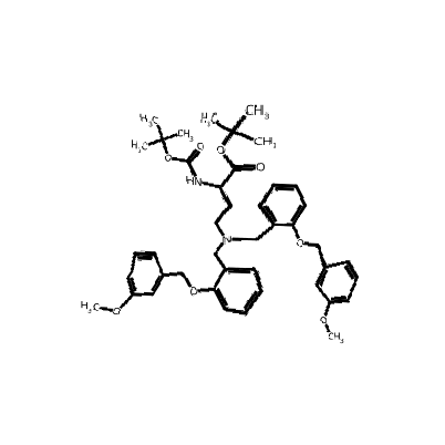 COc1cccc(COc2ccccc2CN(CCC(NC(=O)OC(C)(C)C)C(=O)OC(C)(C)C)Cc2ccccc2OCc2cccc(OC)c2)c1